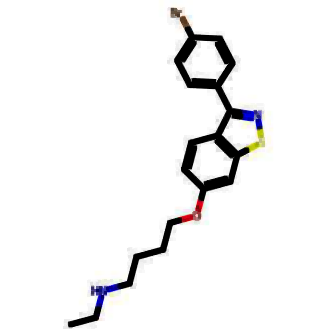 CCNCCCCOc1ccc2c(-c3ccc(Br)cc3)nsc2c1